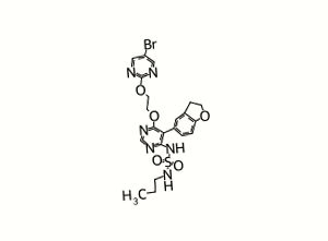 CCCNS(=O)(=O)Nc1ncnc(OCCOc2ncc(Br)cn2)c1-c1ccc2c(c1)CCO2